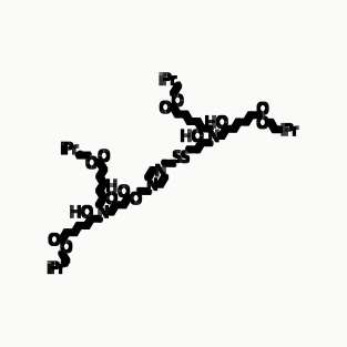 CC(C)CCOC(=O)CCCCC(O)CN(CCCCSSCCN1CCN(CCOC(=O)CCCN(CC(O)CCCCC(=O)OCCC(C)C)CC(O)CCCCC(=O)OCCC(C)C)CC1)CC(O)CCCCC(=O)OCCC(C)C